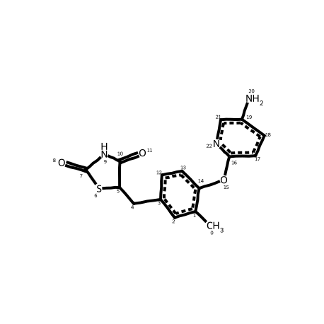 Cc1cc(CC2SC(=O)NC2=O)ccc1Oc1ccc(N)cn1